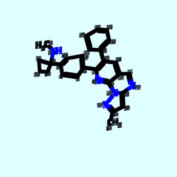 CNC1(c2ccc(-c3nc4c(cnc5cc(C)nn54)cc3-c3ccccc3)cc2)CCC1